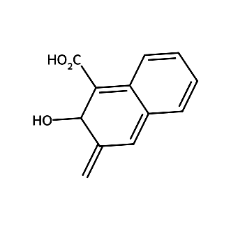 C=C1C=c2ccccc2=C(C(=O)O)C1O